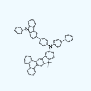 CC1(C)c2ccc(N(c3ccc(-c4ccccc4)cc3)c3ccc(-c4ccc5c(c4)c4ccccc4n5-c4ccccc4)cc3)cc2-c2cc3c4ccccc4c4ccccc4c3cc21